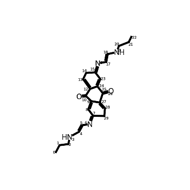 CCCNC=CN=C1C=C2C(=O)C3=CCC(=NC=CNCCC)C=C3C(=O)C2=CC1